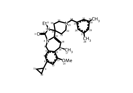 CCN1C(=O)N2Cc3cc(C4CC4)cc(OC)c3[C@H](C)C=C2C12CCN(Cc1cc(C)cc(C)c1)CC2